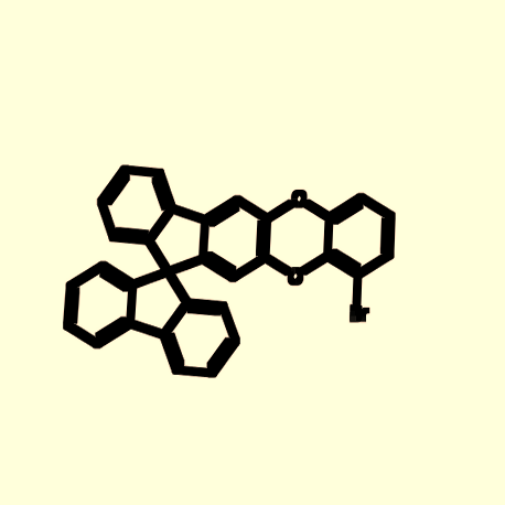 Brc1cccc2c1Oc1cc3c(cc1O2)-c1ccccc1C31c2ccccc2-c2ccccc21